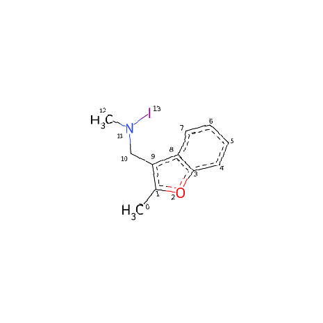 Cc1oc2ccccc2c1CN(C)I